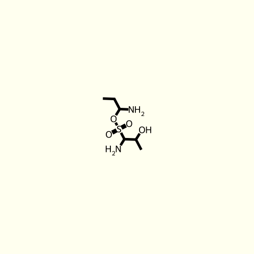 CCC(N)OS(=O)(=O)C(N)C(C)O